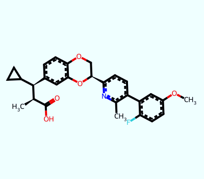 COc1ccc(F)c(-c2ccc([C@@H]3COc4ccc([C@H](C5CC5)[C@H](C)C(=O)O)cc4O3)nc2C)c1